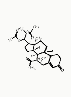 CCC(OC(C)=O)[C@]1(OC(C)=O)CC[C@H]2[C@@H]3[C@H](C(C)=S)CC4=CC(=O)CC[C@]4(C)[C@H]3CC[C@@]21C